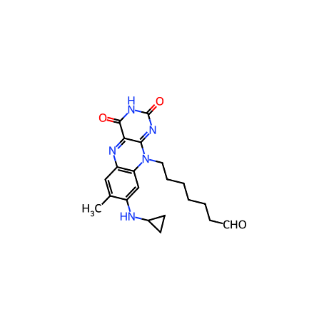 Cc1cc2nc3c(=O)[nH]c(=O)nc-3n(CCCCCCC=O)c2cc1NC1CC1